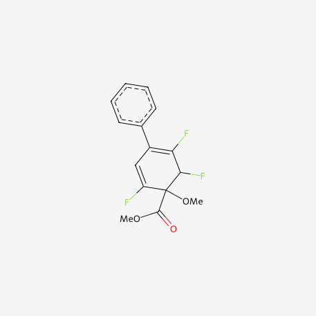 COC(=O)C1(OC)C(F)=CC(c2ccccc2)=C(F)C1F